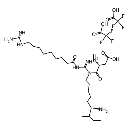 CCC(C)[C@H](N)CCCCCN(C(=N)NC(=O)CCCCCCCCNC(=N)N)C(=O)[C@@H](N)CC(=O)O.O=C(O)C(F)(F)F.O=C(O)C(F)(F)F